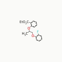 CCOC(=O)c1ccccc1OC(C)COc1ccccc1F